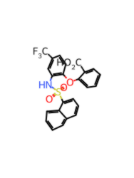 O=C(O)c1ccccc1Oc1ccc(C(F)(F)F)cc1NS(=O)(=O)c1cccc2ccccc12